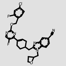 N#Cc1ccc2c(c1)nc(CC1CC=C(c3nc(OCc4ccc(Cl)cc4F)ncc3F)CC1)n2CC1CCO1